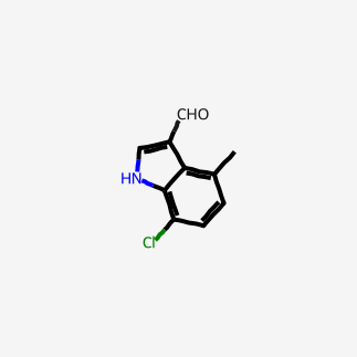 Cc1ccc(Cl)c2[nH]cc(C=O)c12